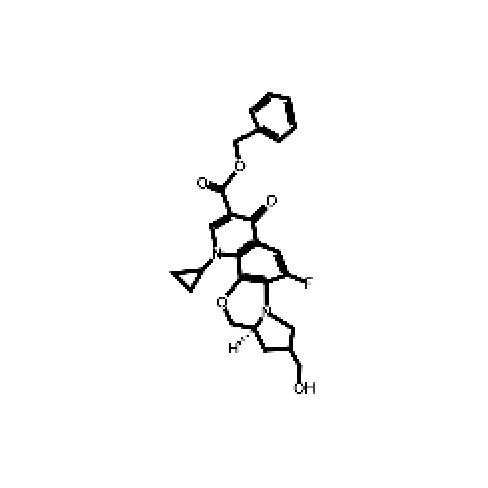 O=C(OCc1ccccc1)c1cn(C2CC2)c2c3c(c(F)cc2c1=O)N1CC(CO)C[C@H]1CO3